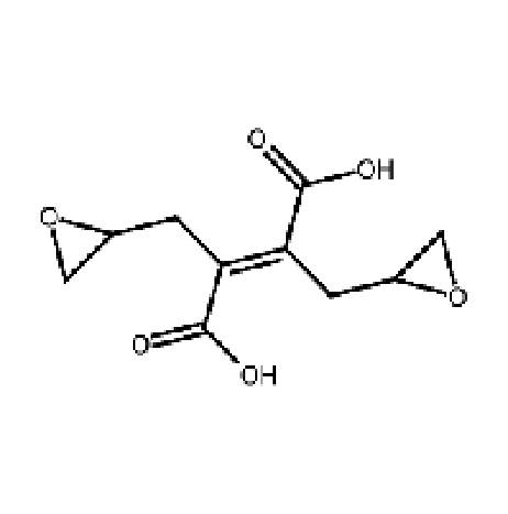 O=C(O)/C(CC1CO1)=C(\CC1CO1)C(=O)O